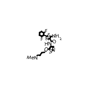 CNCCCCOc1sncc1NC(=O)c1nc(-c2c(F)cccc2F)sc1N